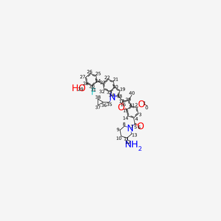 COc1cc(C(=O)N2CCCC(N)C2)cc2oc(-c3cc4ccc(-c5cccc(O)c5F)cc4n3CC3CC3)c(C)c12